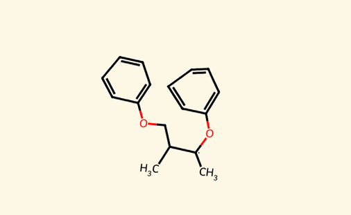 C[C](Oc1ccccc1)C(C)COc1ccccc1